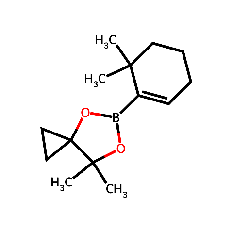 CC1(C)CCCC=C1B1OC(C)(C)C2(CC2)O1